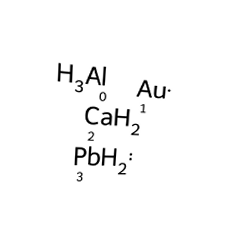 [AlH3].[Au].[CaH2].[PbH2]